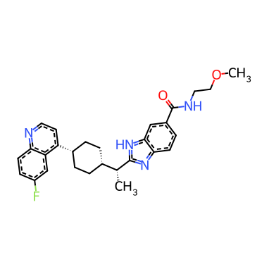 COCCNC(=O)c1ccc2nc([C@H](C)[C@H]3CC[C@@H](c4ccnc5ccc(F)cc54)CC3)[nH]c2c1